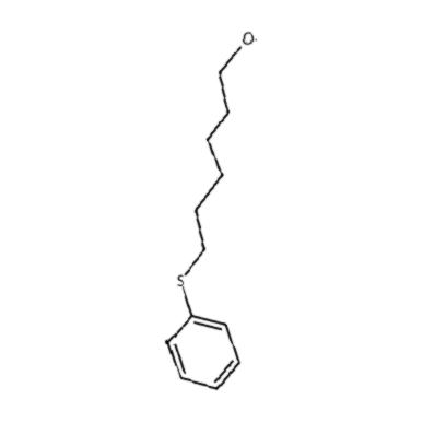 [O]CCCCCCSc1ccccc1